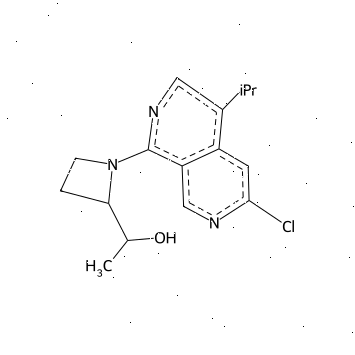 CC(C)c1cnc(N2CCC2C(C)O)c2cnc(Cl)cc12